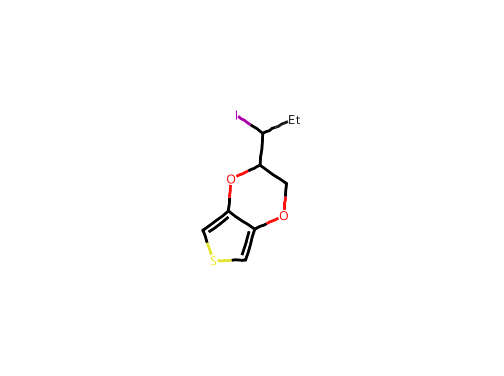 CCC(I)C1COc2cscc2O1